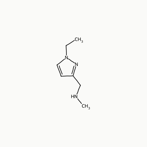 CCn1ccc(CNC)n1